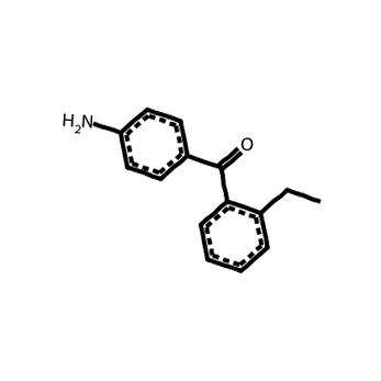 CCc1ccccc1C(=O)c1ccc(N)cc1